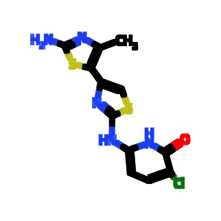 Cc1nc(N)sc1-c1csc(Nc2ccc(Cl)c(=O)[nH]2)n1